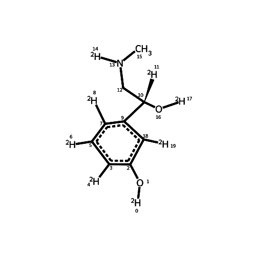 [2H]Oc1c([2H])c([2H])c([2H])c([C@]([2H])(CN([2H])C)O[2H])c1[2H]